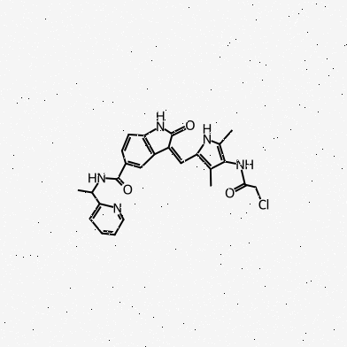 Cc1[nH]c(C=C2C(=O)Nc3ccc(C(=O)NC(C)c4ccccn4)cc32)c(C)c1NC(=O)CCl